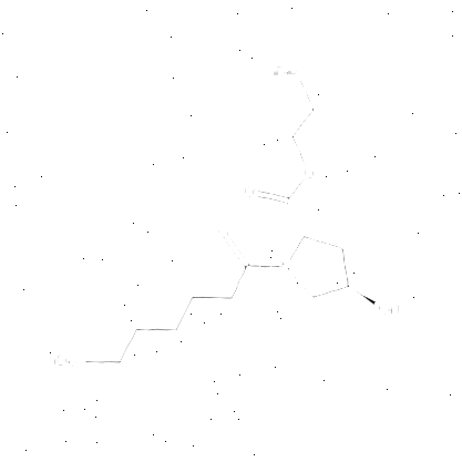 CCCCCCCCCCCCCCCC(=O)N1C[C@H](O)C[C@H]1C(=O)OCCCCCCCCCCCC